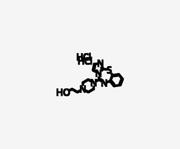 Cl.Cl.OCCN1CCN(C2=Nc3ccccc3Sc3nccn32)CC1